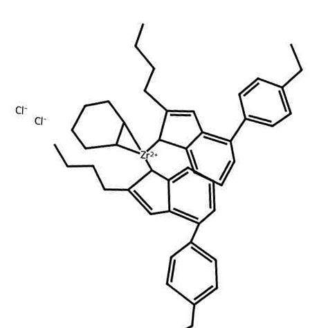 CCCCC1=Cc2c(-c3ccc(CC)cc3)cccc2[CH]1[Zr+2]1([CH]2C(CCCC)=Cc3c(-c4ccc(CC)cc4)cccc32)[CH]2CCCC[CH]21.[Cl-].[Cl-]